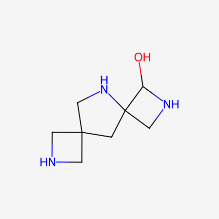 OC1NCC12CC1(CNC1)CN2